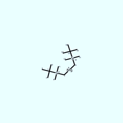 CC(C)(C)[Si](C)(C)[CH2][Mg][CH2][Si](C)(C)C(C)(C)C